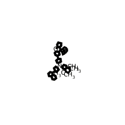 CC1(C)CCC(C)(C)c2cc(N(c3ccc(-c4ccc5c(c4)C4(c6ccccc6O5)C5CC6CC7CC4C75C6)cc3)c3ccc(-c4cccc5ccccc45)cc3)ccc21